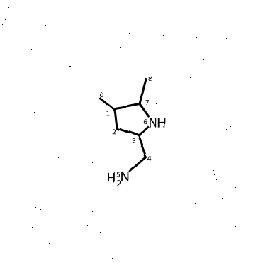 CC1CC(CN)NC1C